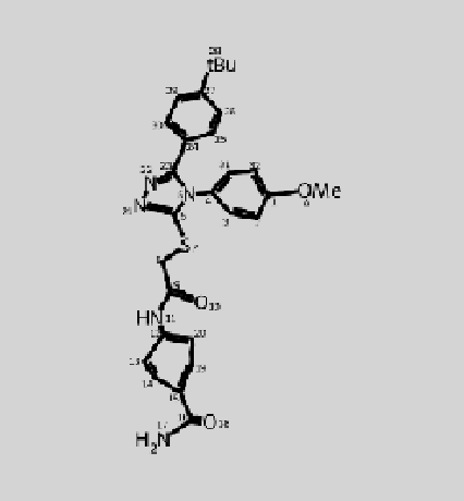 COc1ccc(-n2c(SCC(=O)Nc3ccc(C(N)=O)cc3)nnc2-c2ccc(C(C)(C)C)cc2)cc1